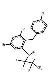 [O-][S+](c1cc(Br)[c]c(Br)c1Cc1ccc(Cl)nc1)C(F)(F)C(F)(F)C(F)(F)F